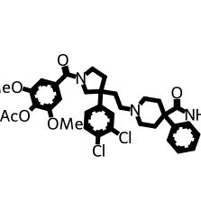 COc1cc(C(=O)N2CCC(CCN3CCC(C(N)=O)(c4ccccc4)CC3)(c3ccc(Cl)c(Cl)c3)C2)cc(OC)c1OC(C)=O